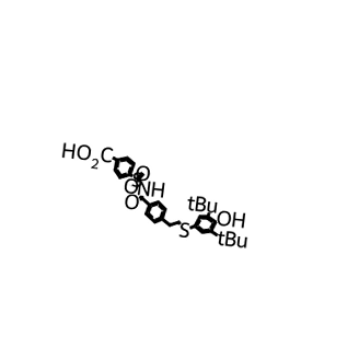 CC(C)(C)c1cc(SCCc2ccc(C(=O)NS(=O)(=O)c3ccc(C(=O)O)cc3)cc2)cc(C(C)(C)C)c1O